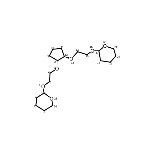 C1CCC(OCCO[C@@H]2CCC[C@H]2OCCOC2CCCCO2)OC1